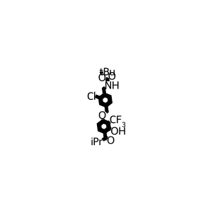 CC(C)C(=O)c1ccc(OCc2ccc(CNC(=O)OC(C)(C)C)c(Cl)c2)c(C(F)(F)F)c1O